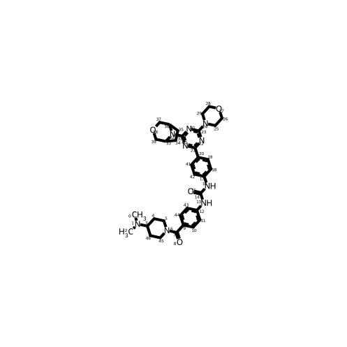 CN(C)C1CCN(C(=O)c2ccc(NC(=O)Nc3ccc(-c4nc(N5CCOCC5)nc(N5C6CCC5COC6)n4)cc3)cc2)CC1